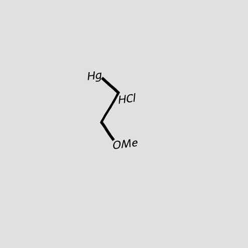 COC[CH2][Hg].Cl